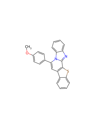 COc1ccc(-c2cc3c4ccccc4sc3c3nc4ccccc4n23)cc1